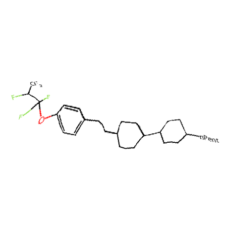 CCCCCC1CCC(C2CCC(CCc3ccc(OC(F)(F)C(F)C(F)(F)F)cc3)CC2)CC1